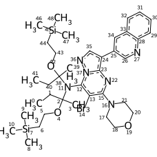 CCC(C)(OCC[Si](C)(C)C)N(c1c(Br)c(N2CCOCC2)nc2c(-c3cnc4ccccc4c3)cnn12)C(C)(CC)OCC[Si](C)(C)C